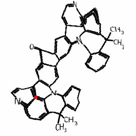 CC1(C)C2=CCCC=C2N(c2cc3c(cc2-c2ccncc2)C(=O)c2cc(-c4ccncc4)c(N4C5=C(C=C=C=C5)C(C)(C)c5ccccc54)cc2-3)c2ccccc21